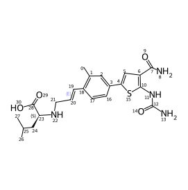 Cc1cc(-c2cc(C(N)=O)c(NC(N)=O)s2)ccc1/C=C/CN[C@@H](CC(C)C)C(=O)O